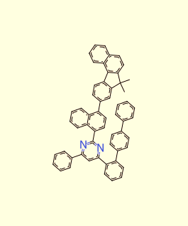 CC1(C)c2cc(-c3ccc(-c4nc(-c5ccccc5)cc(-c5ccccc5-c5ccc(-c6ccccc6)cc5)n4)c4ccccc34)ccc2-c2c1ccc1ccccc21